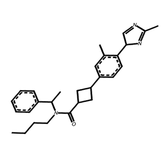 CCCCN(C(=O)C1CC(c2ccc(C3C=NC(C)=N3)c(C)c2)C1)C(C)c1ccccc1